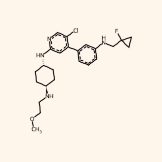 COCCN[C@H]1CC[C@H](Nc2cc(-c3cccc(NCC4(F)CC4)c3)c(Cl)cn2)CC1